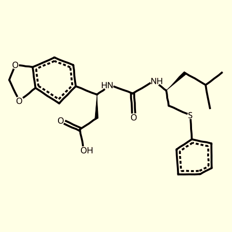 CC(C)C[C@@H](CSc1ccccc1)NC(=O)N[C@@H](CC(=O)O)c1ccc2c(c1)OCO2